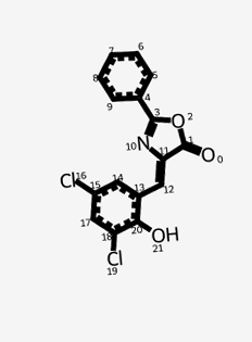 O=C1OC(c2ccccc2)=NC1=Cc1cc(Cl)cc(Cl)c1O